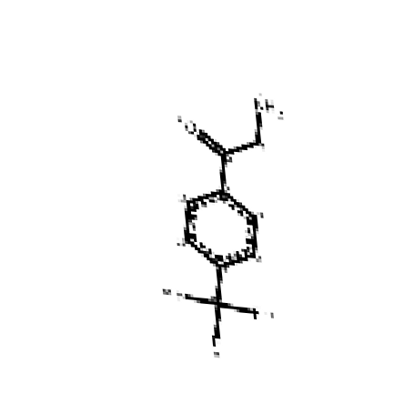 NCC(=O)c1ccc(C(F)(F)F)cc1